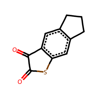 O=C1Sc2cc3c(cc2C1=O)CCC3